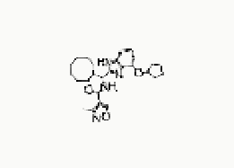 Cc1nocc1C(=O)NC(c1nc2c(OC3CCCC3)cccc2[nH]1)C1CCCCCCC1